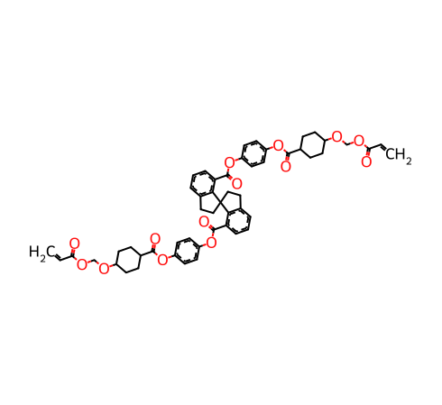 C=CC(=O)OCOC1CCC(C(=O)Oc2ccc(OC(=O)c3cccc4c3C3(CC4)CCc4cccc(C(=O)Oc5ccc(OC(=O)C6CCC(OCOC(=O)C=C)CC6)cc5)c43)cc2)CC1